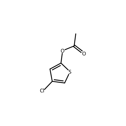 CC(=O)Oc1cc(Cl)cs1